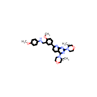 COc1ccc(NCc2cc(-c3ccc4c(N5CCOC[C@@H]5C)nc(N5CCOC[C@@H]5C)nc4n3)ccc2OC)cc1